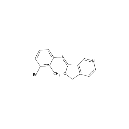 Cc1c(Br)cccc1N=C1OCc2ccncc21